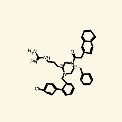 N=C(N)NCCC[C@H]1CN(C(=O)Cc2ccc3ccccc3c2)[C@H](Cc2ccccc2)CN1Cc1ccccc1-c1ccc(Cl)cc1